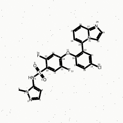 Cn1nccc1NS(=O)(=O)c1cc(F)c(Oc2ccc(Cl)cc2-c2cccc3nccn23)cc1F